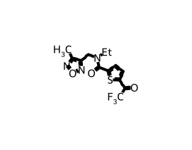 CCN(Cc1nonc1C)C(=O)c1ccc(C(=O)C(F)(F)F)s1